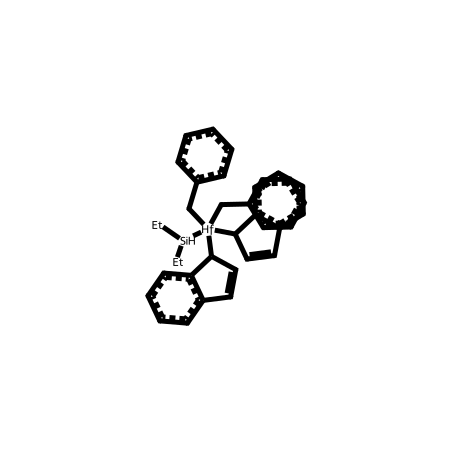 CC[SiH](CC)[Hf]([CH2]c1ccccc1)([CH2]c1ccccc1)([CH]1C=Cc2ccccc21)[CH]1C=Cc2ccccc21